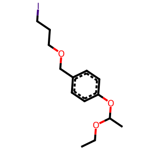 CCOC(C)Oc1ccc(COCCCI)cc1